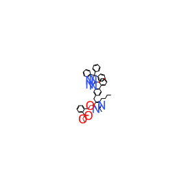 CCCCc1nc(C)nc(OCc2ccccc2C(=O)OC)c1Cc1ccc(-c2ccccc2-c2nnnn2C(c2ccccc2)(c2ccccc2)c2ccccc2)cc1